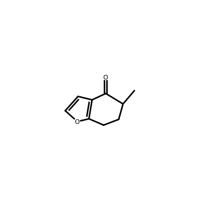 CC1CCc2occc2C1=O